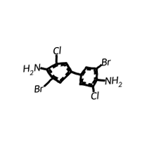 Nc1c(Cl)cc(-c2cc(Cl)c(N)c(Br)c2)cc1Br